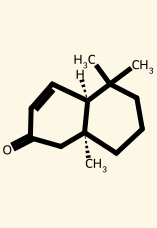 CC1(C)CCC[C@@]2(C)CC(=O)C=C[C@@H]12